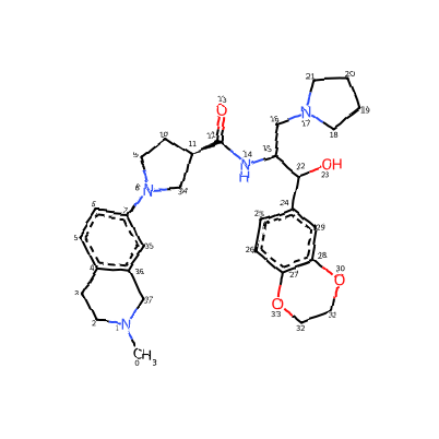 CN1CCc2ccc(N3CC[C@@H](C(=O)NC(CN4CCCC4)C(O)c4ccc5c(c4)OCCO5)C3)cc2C1